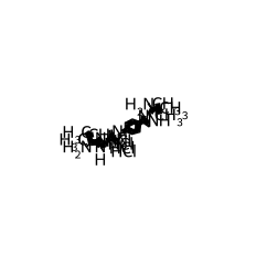 CC(C)(C)[C@H](N)c1nc(-c2ccc(-c3ncc(-c4c[nH]c([C@@H](N)C(C)(C)C)n4)cn3)cc2)c[nH]1.Cl.Cl.Cl.Cl